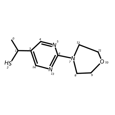 CC(S)c1cnc(N2CCOCC2)nc1